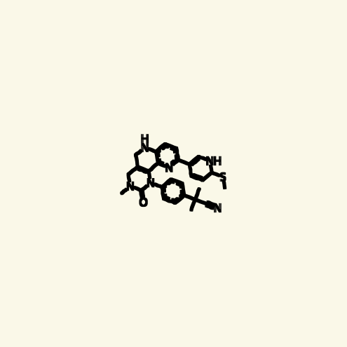 CSC1C=CC(c2ccc3c(n2)C2=C(CN3)CN(C)C(=O)N2c2ccc(C(C)(C)C#N)cc2)=CN1